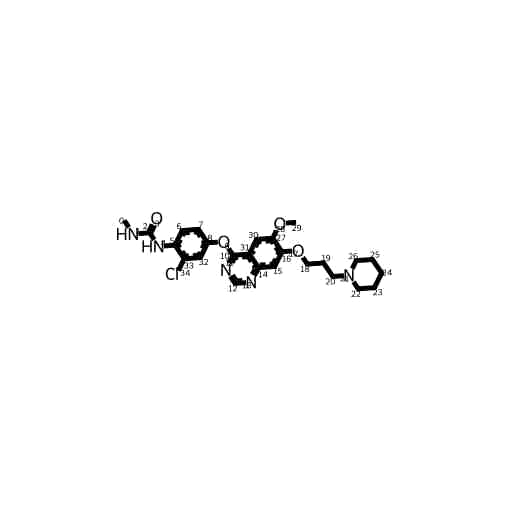 CNC(=O)Nc1ccc(Oc2ncnc3cc(OCCCN4CCCCC4)c(OC)cc23)cc1Cl